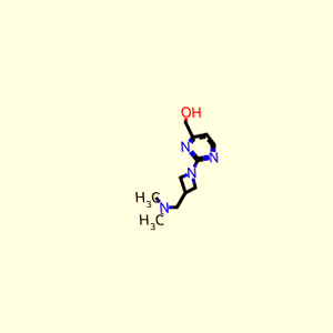 CN(C)CC1CN(c2nccc(CO)n2)C1